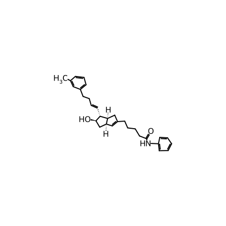 Cc1cccc(CC/C=C/[C@@H]2[C@H]3CC(CCCCC(=O)Nc4ccccc4)=C[C@H]3C[C@H]2O)c1